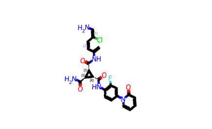 C=C(/C=C\C(Cl)=C/N)NC(=O)[C@H]1[C@H](C(N)=O)[C@H]1C(=O)Nc1ccc(-n2ccccc2=O)cc1F